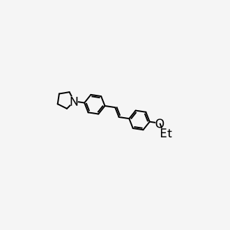 CCOc1ccc(C=Cc2ccc(N3CCCC3)cc2)cc1